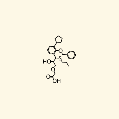 CCCSC(c1cccc(C2CCCC2)c1OCc1ccccc1)C(O)COCC(=O)O